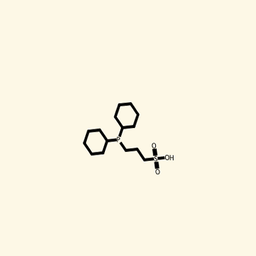 O=S(=O)(O)CCCP(C1CCCCC1)C1CCCCC1